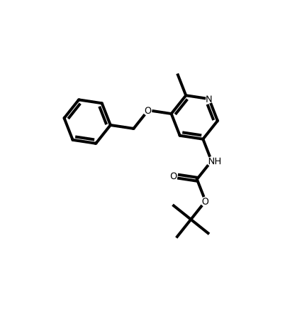 Cc1ncc(NC(=O)OC(C)(C)C)cc1OCc1ccccc1